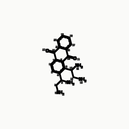 NCC(N)c1ccc2c(c1C(N)CN)C(=O)c1ccccc1C2=O